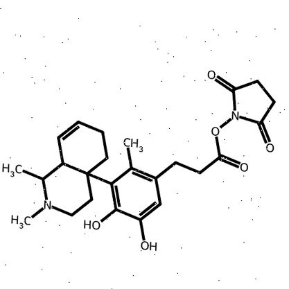 Cc1c(CCC(=O)ON2C(=O)CCC2=O)cc(O)c(O)c1C12CCC=CC1C(C)N(C)CC2